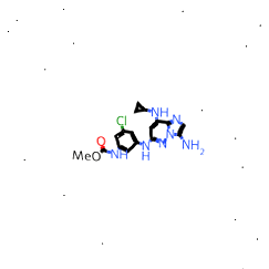 COC(=O)Nc1cc(Cl)cc(Nc2cc(NC3CC3)c3ncc(N)n3n2)c1